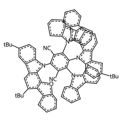 CC(C)(C)c1ccc2c(c1)c1ccc3c4ccccc4oc3c1n2-c1c(-n2c3ccccc3c3ccccc32)c(C#N)c(-n2c3ccc(C(C)(C)C)cc3c3cc(C(C)(C)C)c4c5ccccc5oc4c32)c(C#N)c1-n1c2ccccc2c2ccccc21